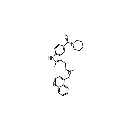 Cc1[nH]c2ccc(C(=O)N3CCCCC3)cc2c1CCN(C)Cc1ccnc2ccccc12